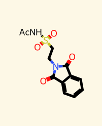 CC(=O)NS(=O)(=O)CCN1C(=O)c2ccccc2C1=O